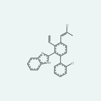 C=Cc1c(/C=C(\C)Cl)ccc(-c2ccccc2Cl)c1-c1nc2ccccc2[nH]1